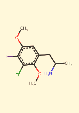 COc1cc(CC(C)N)c(OC)c(Cl)c1I